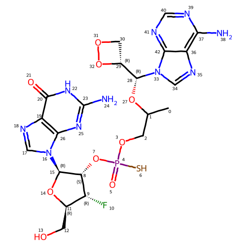 CC(COP(=O)(S)O[C@@H]1[C@H](F)[C@@H](CO)O[C@H]1n1cnc2c(=O)[nH]c(N)nc21)O[C@H]([C@H]1COO1)n1cnc2c(N)ncnc21